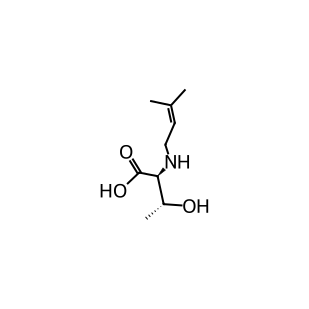 CC(C)=CCN[C@H](C(=O)O)[C@@H](C)O